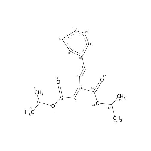 CC(C)OC(=O)/C=C(\C=Cc1ccccc1)C(=O)OC(C)C